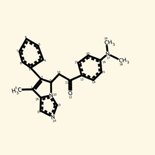 CC1=C(c2ccccc2)C(CC(=O)c2ccc(N(C)C)cc2)n2cncc21